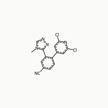 Cn1cnnc1-c1cc(C#N)ccc1-c1cc(Cl)nc(Cl)c1